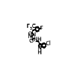 O=C(NCCc1c[nH]c2ccc(Cl)cc12)c1noc(Cc2ccc(F)cc2C(F)(F)F)n1